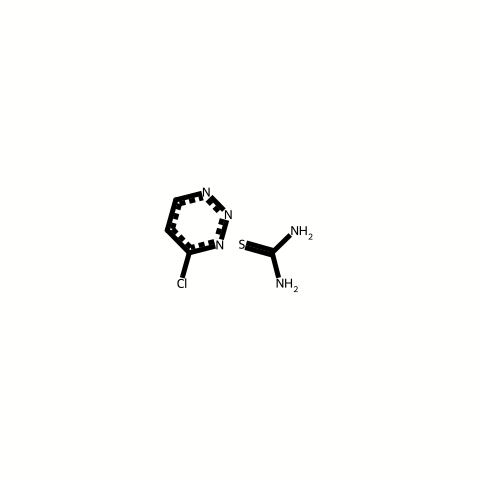 Clc1ccnnn1.NC(N)=S